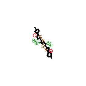 Cc1ccc2c(c1)oc1c(Br)c(-c3sc4c(Br)c(-c5sc6c(oc7cc(C)ccc76)c5Br)sc4c3Br)sc12